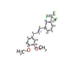 COc1ccc(C/C=C/c2cccc(C(F)(F)F)c2)cc1OC